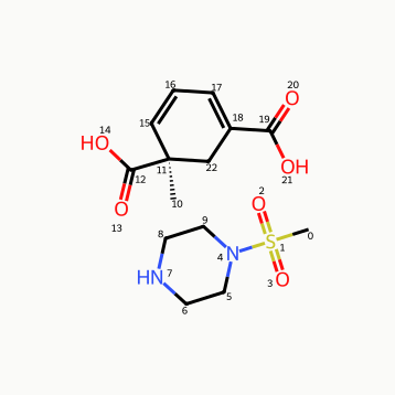 CS(=O)(=O)N1CCNCC1.C[C@]1(C(=O)O)C=CC=C(C(=O)O)C1